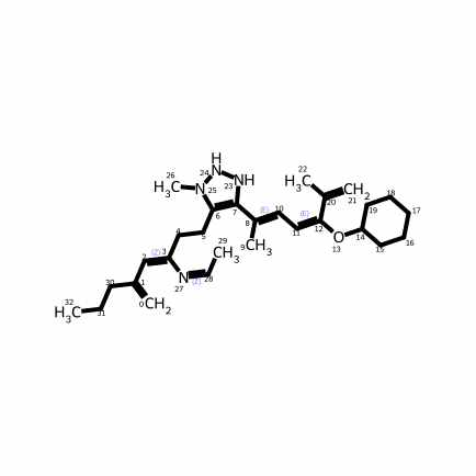 C=C(/C=C(CCC1=C(/C(C)=C/C=C(/OC2CCCCC2)C(=C)C)NNN1C)\N=C/C)CCC